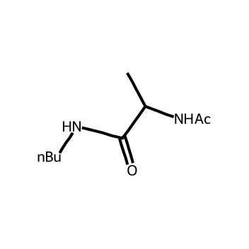 CCCCNC(=O)C(C)NC(C)=O